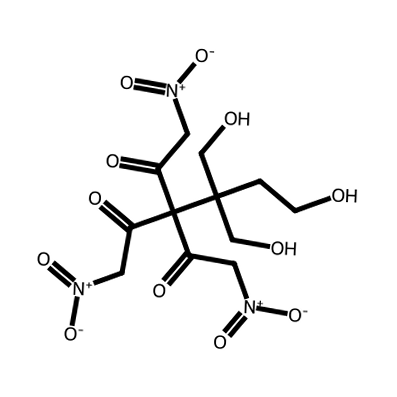 O=C(C[N+](=O)[O-])C(C(=O)C[N+](=O)[O-])(C(=O)C[N+](=O)[O-])C(CO)(CO)CCO